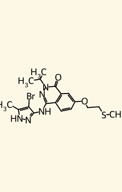 CSCCOc1ccc2c(Nc3n[nH]c(C)c3Br)nn(C(C)C)c(=O)c2c1